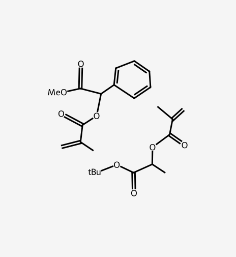 C=C(C)C(=O)OC(C(=O)OC)c1ccccc1.C=C(C)C(=O)OC(C)C(=O)OC(C)(C)C